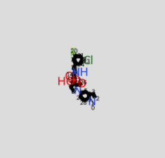 Cn1ccc2cc(N3CCC(O)(OC(=O)NCc4cc(F)cc(Cl)c4)C3=O)ccc21